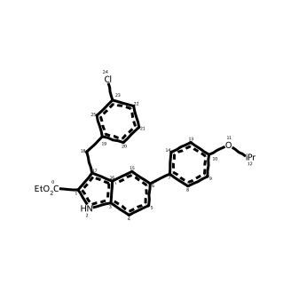 CCOC(=O)c1[nH]c2ccc(-c3ccc(OC(C)C)cc3)cc2c1Cc1cccc(Cl)c1